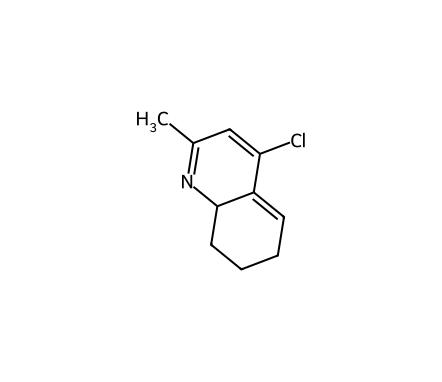 CC1=NC2CCCC=C2C(Cl)=C1